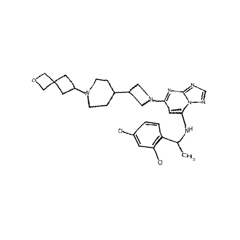 CC(Nc1cc(N2CC(C3CCN(C4CC5(COC5)C4)CC3)C2)nc2ncnn12)c1ccc(Cl)cc1Cl